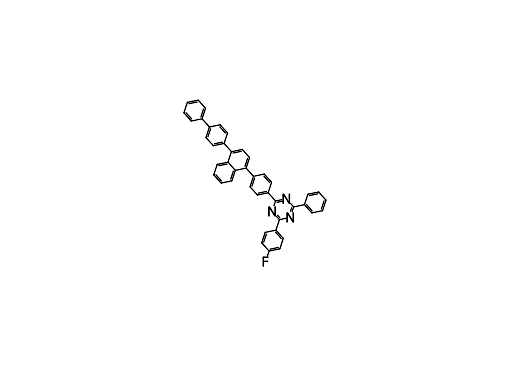 Fc1ccc(-c2nc(-c3ccccc3)nc(-c3ccc(-c4ccc(-c5ccc(-c6ccccc6)cc5)c5ccccc45)cc3)n2)cc1